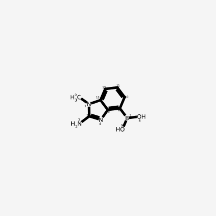 Cn1c(N)nc2c(B(O)O)cccc21